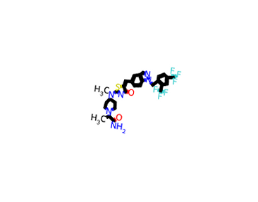 CC(C(N)=O)N1CCC(N(C)C2=NC(=O)/C(=C\c3ccc4c(cnn4Cc4ccc(C(F)(F)F)cc4C(F)(F)F)c3)S2)CC1